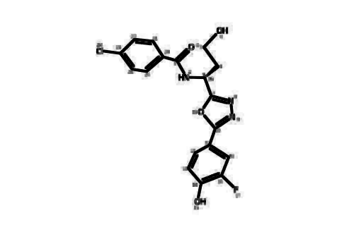 O=C(N[C@@H](CCO)c1nnc(-c2ccc(O)c(F)c2)o1)c1ccc(Cl)cc1